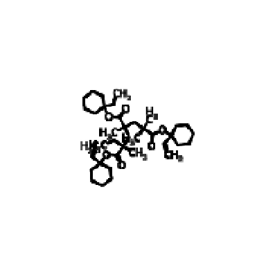 C=CC1(OC(=O)C(C)(C)CC(C)(CC(C)(CC)C(=O)OC2(C=C)CCCCC2)C(=O)OC2(C=C)CCCCC2)CCCCC1